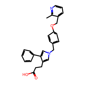 Cc1ncccc1COc1ccc(Cn2cc(CCC(=O)O)c(-c3ccccc3)c2)cc1